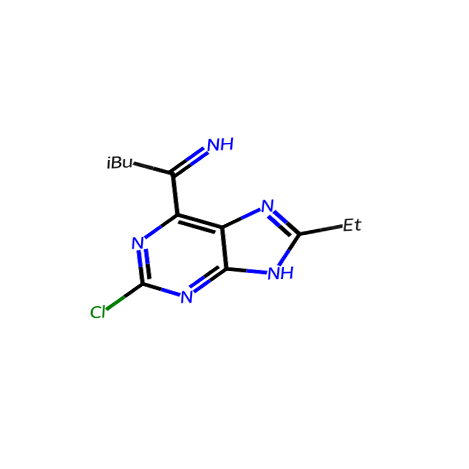 CCc1nc2c(C(=N)C(C)CC)nc(Cl)nc2[nH]1